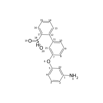 Nc1cccc(Oc2cccc(-c3ccccc3[SH](=O)=O)c2)c1